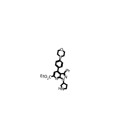 CCOC(=O)c1cc(-c2ccc(N3CCOCC3)cc2)c2c(C(C)C)nn(C3CCNC3)c2n1